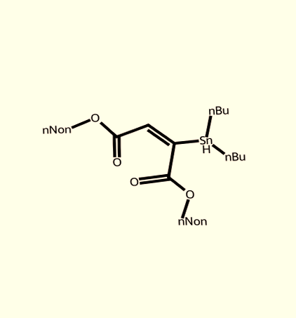 CCCCCCCCCOC(=O)/C=[C](\C(=O)OCCCCCCCCC)[SnH]([CH2]CCC)[CH2]CCC